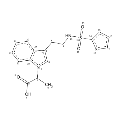 CC(C(=O)O)n1cc(CCNS(=O)(=O)c2cccs2)c2ccccc21